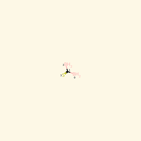 BC(B)=S